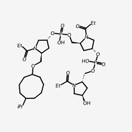 CCC(=O)N1C[C@H](O)C[C@H]1COP(=O)(O)O[C@@H]1C[C@@H](COP(=O)(O)O[C@@H]2C[C@@H](COC3CCCCC(C(C)C)CCC3)N(C(=O)CC)C2)N(C(=O)CC)C1